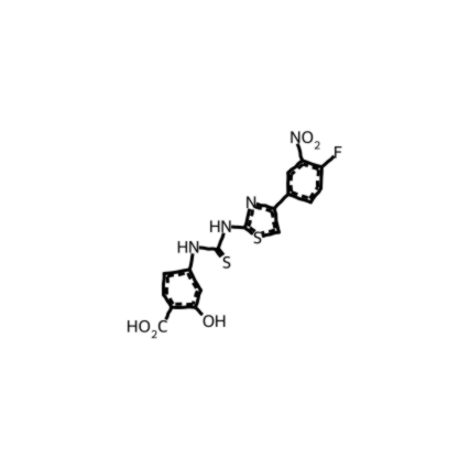 O=C(O)c1ccc(NC(=S)Nc2nc(-c3ccc(F)c([N+](=O)[O-])c3)cs2)cc1O